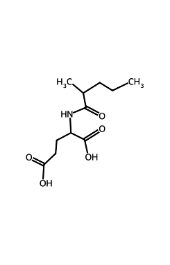 CCCC(C)C(=O)NC(CCC(=O)O)C(=O)O